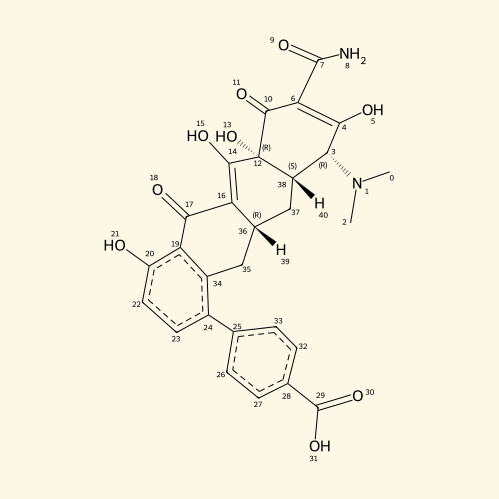 CN(C)[C@H]1C(O)=C(C(N)=O)C(=O)[C@]2(O)C(O)=C3C(=O)c4c(O)ccc(-c5ccc(C(=O)O)cc5)c4C[C@H]3C[C@@H]12